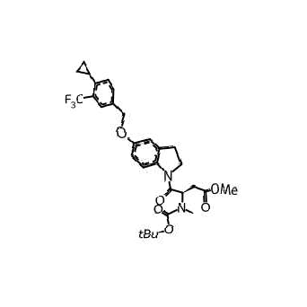 COC(=O)C[C@H](C(=O)N1CCc2cc(OCc3ccc(C4CC4)c(C(F)(F)F)c3)ccc21)N(C)C(=O)OC(C)(C)C